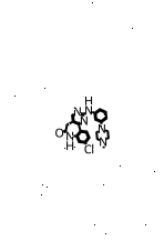 CN1CCN(c2cccc(Nc3ncc4c(n3)-c3ccc(Cl)cc3NC(=O)C4)c2)CC1